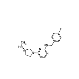 CN[C@@H]1CCN(c2ccnc(NCc3ccc(F)cc3)n2)C1